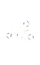 O=C(CC1C(=O)Nc2ccccc2N1S(=O)(=O)c1ccccc1)Nc1ccccc1